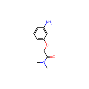 CN(C)C(=O)COc1cccc(N)c1